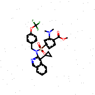 COC(=O)c1ccc(S(=O)(=O)N(Cc2ccc(OC(F)(F)F)cc2)c2ncc3ccccc3c2C2CC2)cc1N(C)C